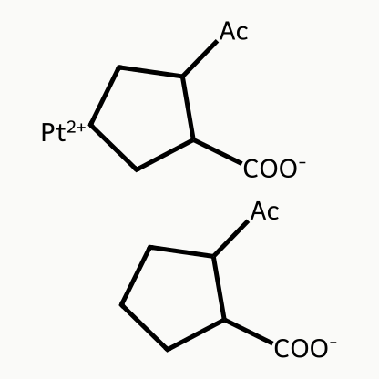 CC(=O)C1CCCC1C(=O)[O-].CC(=O)C1CCCC1C(=O)[O-].[Pt+2]